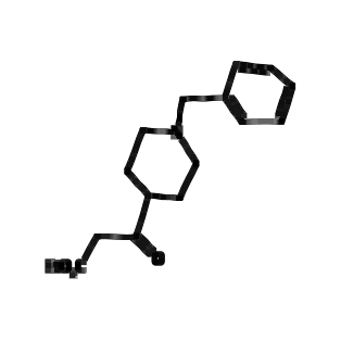 CCOC(=O)CC(=O)C1CCN(Cc2ccccc2)CC1